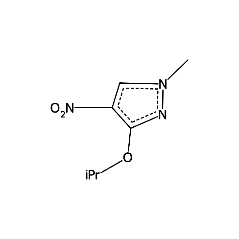 CC(C)Oc1nn(C)cc1[N+](=O)[O-]